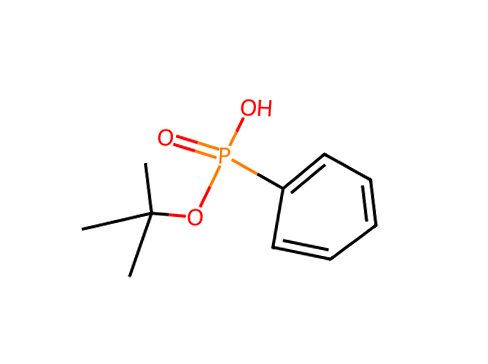 CC(C)(C)OP(=O)(O)c1ccccc1